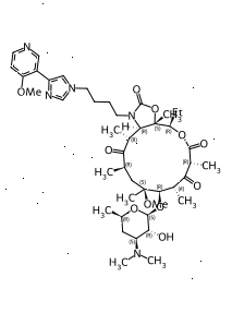 CC[C@H]1OC(=O)[C@H](C)C(=O)[C@H](C)[C@@H](O[C@@H]2O[C@H](C)C[C@H](N(C)C)[C@H]2O)[C@@](C)(OC)C[C@@H](C)C(=O)[C@H](C)[C@H]2N(CCCCn3cnc(-c4cnccc4OC)c3)C(=O)O[C@]12C